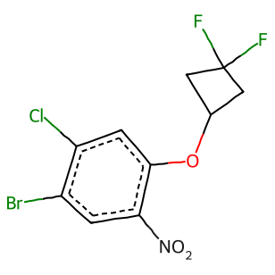 O=[N+]([O-])c1cc(Br)c(Cl)cc1OC1CC(F)(F)C1